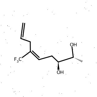 C=CC/C(=C\C[C@H](O)[C@@H](C)O)C(F)(F)F